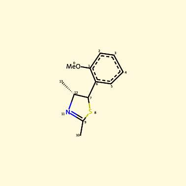 COc1ccccc1C1SC(C)=N[C@@H]1C